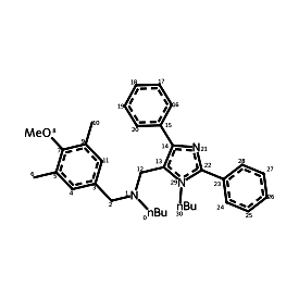 CCCCN(Cc1cc(C)c(OC)c(C)c1)Cc1c(-c2ccccc2)nc(-c2ccccc2)n1CCCC